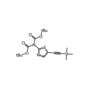 CC(C)(C)OC(=O)N(C(=O)OC(C)(C)C)c1ncc(C#C[Si](C)(C)C)s1